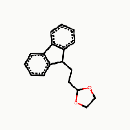 c1ccc2c(c1)-c1ccccc1C2CCC1OCCO1